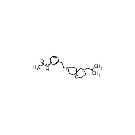 C=C(C)CN1CCOC2(CCN(CCc3cccc(NC(C)=O)c3)CC2)C1